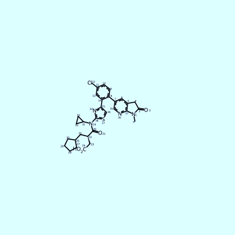 CN1C(=O)Cc2cc(-c3ccc(Cl)cc3-c3csc(N(C(=O)[C@@H](CC(=O)O)CC4CCCC4)C4CC4)n3)cnc21